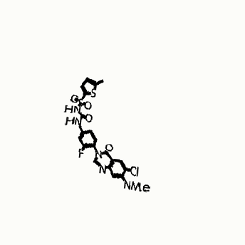 CNc1cc2ncn(-c3ccc(NC(=O)NS(=O)(=O)c4ccc(C)s4)cc3F)c(=O)c2cc1Cl